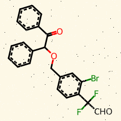 O=CC(F)(F)c1ccc(COC(C(=O)c2ccccc2)c2ccccc2)cc1Br